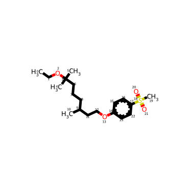 CCOC(C)(C)CCCC(C)CCOc1ccc(S(C)(=O)=O)cc1